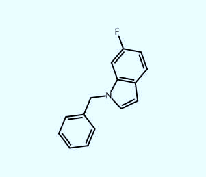 Fc1ccc2ccn(Cc3ccccc3)c2c1